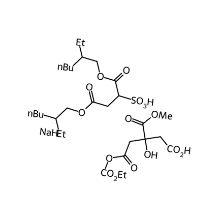 CCCCC(CC)COC(=O)CC(C(=O)OCC(CC)CCCC)S(=O)(=O)O.CCOC(=O)OC(=O)CC(O)(CC(=O)O)C(=O)OC.[NaH]